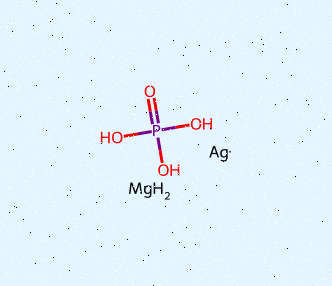 O=P(O)(O)O.[Ag].[MgH2]